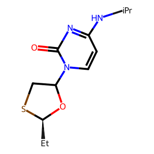 CC[C@@H]1OC(n2ccc(NC(C)C)nc2=O)CS1